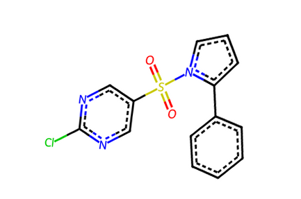 O=S(=O)(c1cnc(Cl)nc1)n1cccc1-c1ccccc1